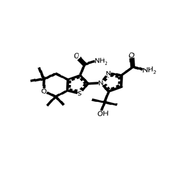 CC1(C)Cc2c(sc(-n3nc(C(N)=O)cc3C(C)(C)O)c2C(N)=O)C(C)(C)O1